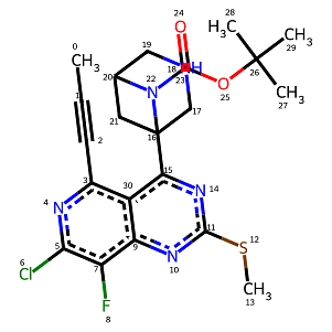 CC#Cc1nc(Cl)c(F)c2nc(SC)nc(C34CNCC(C3)N4C(=O)OC(C)(C)C)c12